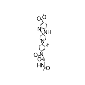 COC(=O)c1ccc(NC2(C#N)CCN(c3ccc(N4C[C@H](CNC(C)=O)OC4=O)cc3F)CC2)cc1